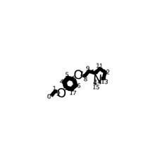 CCOc1ccc(OCCC2CCCN2C)cc1